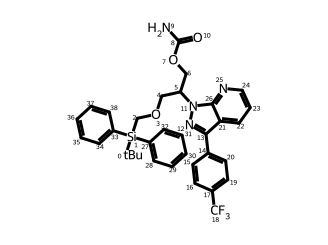 CC(C)(C)[Si](COCC(COC(N)=O)n1nc(-c2ccc(C(F)(F)F)cc2)c2cccnc21)(c1ccccc1)c1ccccc1